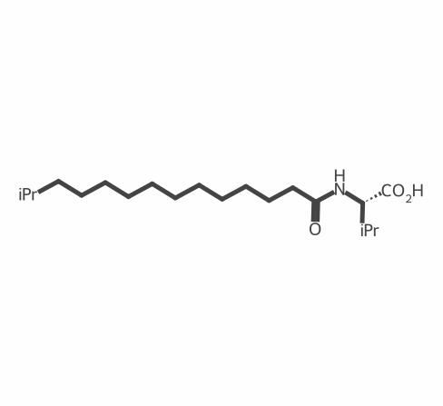 CC(C)CCCCCCCCCCCC(=O)N[C@H](C(=O)O)C(C)C